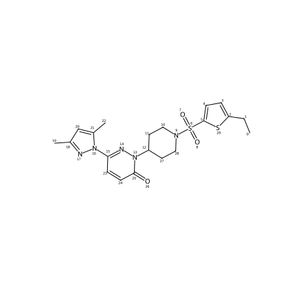 CCc1ccc(S(=O)(=O)N2CCC(n3nc(-n4nc(C)cc4C)ccc3=O)CC2)s1